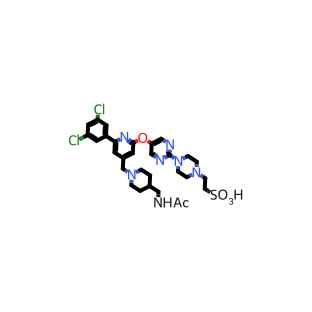 CC(=O)NCC1CCN(Cc2cc(Oc3cnc(N4CCN(CCS(=O)(=O)O)CC4)nc3)nc(-c3cc(Cl)cc(Cl)c3)c2)CC1